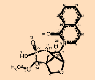 COC[C@@]12COC([C@H](n3ccc4ccccc4c3=O)O1)[C@@H]2OP(=O)(O)O